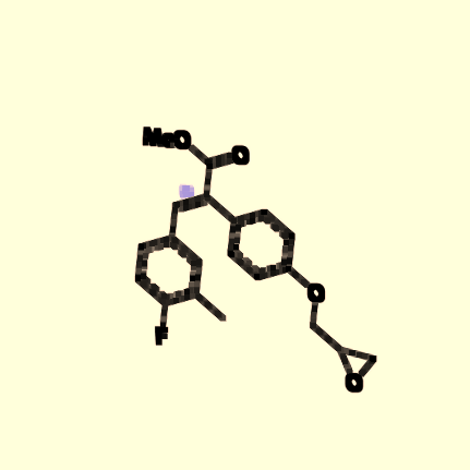 COC(=O)/C(=C/c1ccc(F)c(C)c1)c1ccc(OCC2CO2)cc1